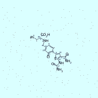 CC(C)C[C@@H](NCc1ccc(-c2cc(C(N)=O)c(NC(N)=O)s2)c(Cl)c1)C(=O)O